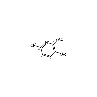 CC(=O)c1ccc(Cl)nc1C(C)=O